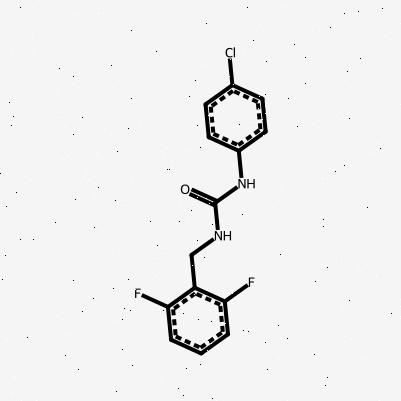 O=C(NCc1c(F)cccc1F)Nc1ccc(Cl)cc1